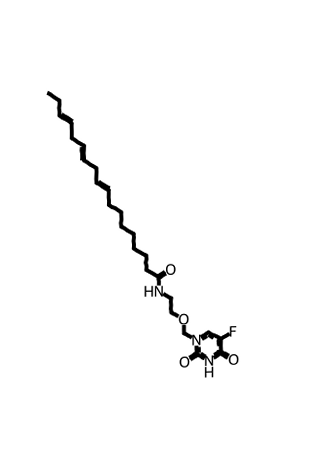 CCC=CCC=CCC=CCCCCCCCC(=O)NCCOCn1cc(F)c(=O)[nH]c1=O